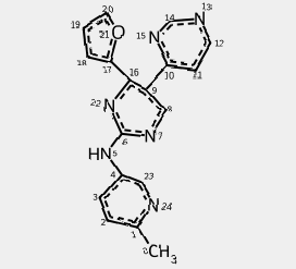 Cc1ccc(Nc2ncc(-c3ccncn3)c(-c3ccco3)n2)cn1